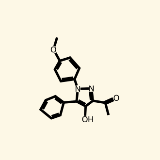 COc1ccc(-n2nc(C(C)=O)c(O)c2-c2ccccc2)cc1